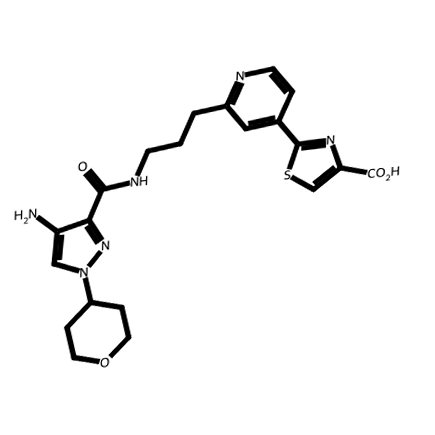 Nc1cn(C2CCOCC2)nc1C(=O)NCCCc1cc(-c2nc(C(=O)O)cs2)ccn1